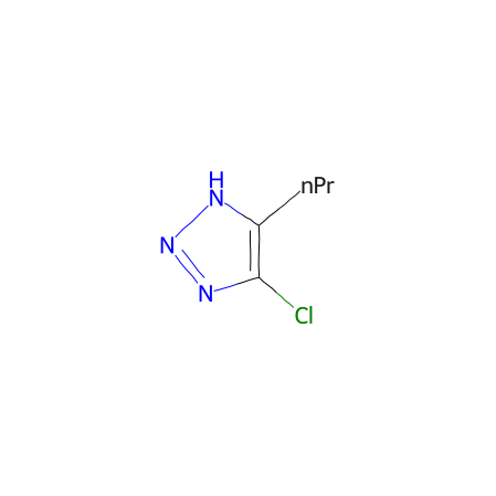 CCCc1[nH]nnc1Cl